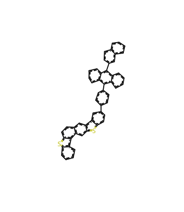 c1ccc2cc(-c3c4ccccc4c(-c4ccc(-c5ccc6sc7cc8c(ccc9sc%10ccccc%10c98)cc7c6c5)cc4)c4ccccc34)ccc2c1